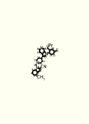 Cc1cccc2c1cc(C#N)n2CN1CCC(c2cn(-c3ccc(F)cc3CC(C)C)c3cnccc23)CC1